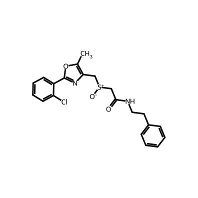 Cc1oc(-c2ccccc2Cl)nc1C[S+]([O-])CC(=O)NCCc1ccccc1